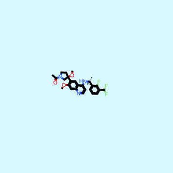 COc1cc2nccc(N[C@H](C)c3cccc(C(F)F)c3F)c2cc1C1(OC)CCN(C(C)=O)C1